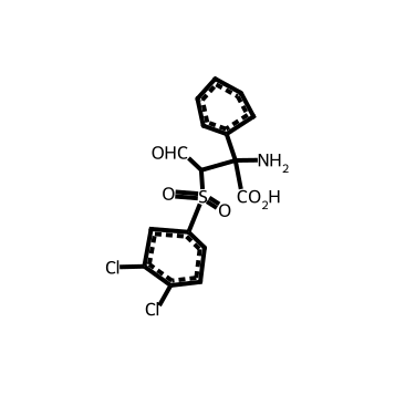 NC(C(=O)O)(c1ccccc1)C(C=O)S(=O)(=O)c1ccc(Cl)c(Cl)c1